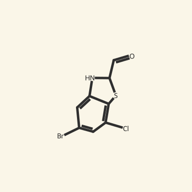 O=CC1Nc2cc(Br)cc(Cl)c2S1